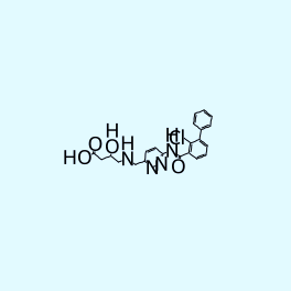 O=C(O)CC(O)CNCc1ccc(NC(=O)c2cccc(-c3ccccc3)c2Cl)nn1